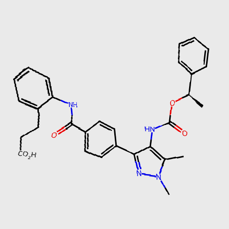 Cc1c(NC(=O)O[C@H](C)c2ccccc2)c(-c2ccc(C(=O)Nc3ccccc3CCC(=O)O)cc2)nn1C